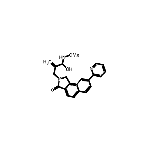 C=C(CN1Cc2c(ccc3ccc(-c4ccccn4)cc23)C1=O)C(O)NOC